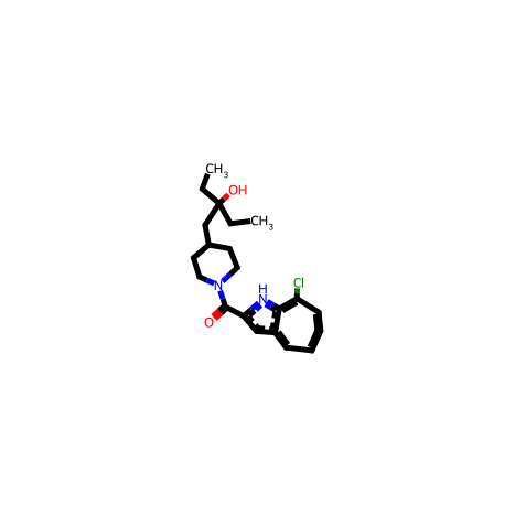 CCC(O)(CC)CC1CCN(C(=O)c2cc3c([nH]2)=C(Cl)C=C=CC=3)CC1